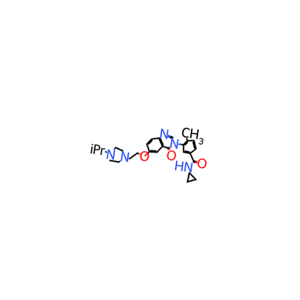 Cc1ccc(C(=O)NC2CC2)cc1-n1cnc2ccc(OCCN3CCN(C(C)C)CC3)cc2c1=O